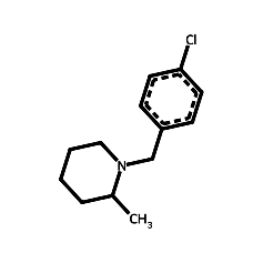 CC1CCCCN1Cc1ccc(Cl)cc1